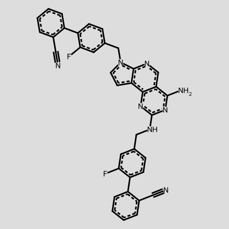 N#Cc1ccccc1-c1ccc(CNc2nc(N)c3cnc4c(ccn4Cc4ccc(-c5ccccc5C#N)c(F)c4)c3n2)cc1F